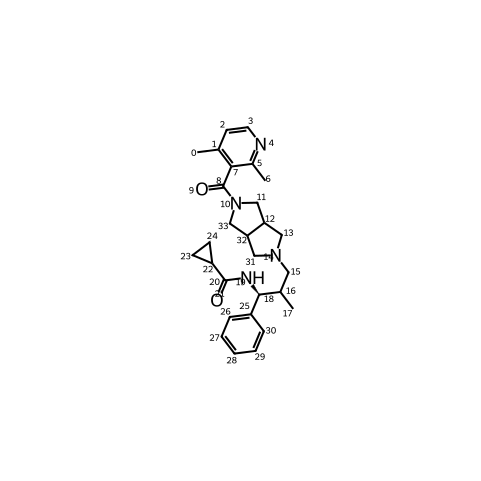 Cc1ccnc(C)c1C(=O)N1CC2CN(CC(C)[C@H](NC(=O)C3CC3)c3ccccc3)CC2C1